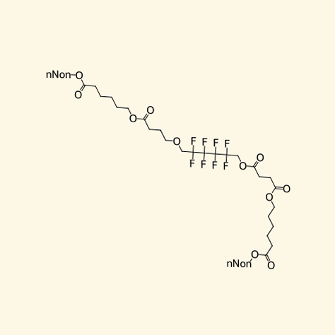 CCCCCCCCCOC(=O)CCCCCOC(=O)CCCOCC(F)(F)C(F)(F)C(F)(F)C(F)(F)COC(=O)CCC(=O)OCCCCCC(=O)OCCCCCCCCC